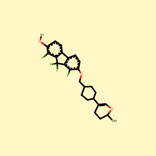 CCCC1CCC(C2CCC(COc3ccc4c(c3F)C(F)(F)c3c-4ccc(OCC)c3F)CC2)=CO1